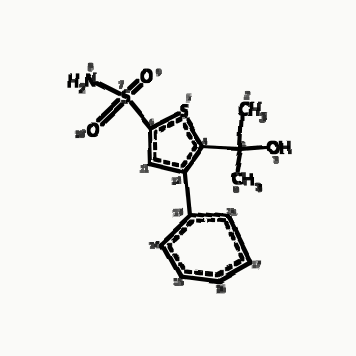 CC(C)(O)c1sc(S(N)(=O)=O)cc1-c1ccccc1